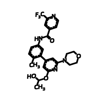 Cc1ccc(NC(=O)c2ccnc(C(F)(F)F)c2)cc1-c1cc(OC(C)O)nc(N2CCOCC2)c1